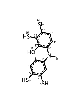 CN(c1ccc(S)c(S)c1)c1ccc(S)c(S)c1O